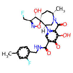 Cc1ccc(CNC(=O)c2cn3c(c(O)c2=O)C(=O)N2C[C@@H]3[C@@]3(CC[C@@H]2C)ON=C(CF)[C@@H]3O)c(F)c1